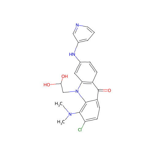 CN(C)c1c(Cl)ccc2c(=O)c3ccc(Nc4cccnc4)cc3n(CC(O)O)c12